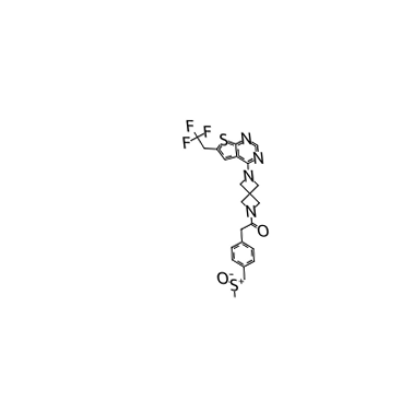 C[S+]([O-])Cc1ccc(CC(=O)N2CC3(C2)CN(c2ncnc4sc(CC(F)(F)F)cc24)C3)cc1